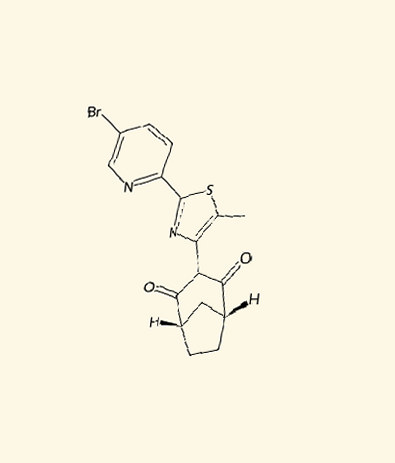 Cc1sc(-c2ccc(Br)cn2)nc1C1C(=O)[C@@H]2CC[C@@H](C2)C1=O